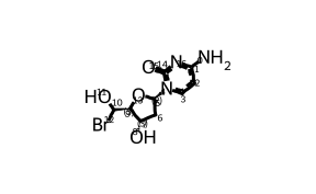 Nc1ccn([C@H]2C[C@H](O)[C@@H](C(O)Br)O2)c(=O)n1